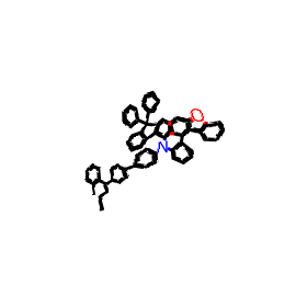 C=C/C=C(/c1ccc(-c2ccc(N(c3ccccc3-c3cccc4oc5ccccc5c34)c3cccc4c3-c3ccccc3C4(c3ccccc3)c3ccccc3)cc2)cc1)c1ccccc1C